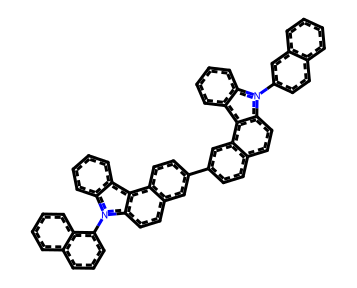 c1ccc2cc(-n3c4ccccc4c4c5cc(-c6ccc7c(ccc8c7c7ccccc7n8-c7cccc8ccccc78)c6)ccc5ccc43)ccc2c1